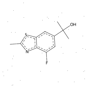 Cc1nc2c(F)cc(C(C)(C)O)cc2s1